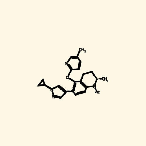 CC(=O)N1c2ccc(-c3cnn(C4CC4)c3)c(Oc3ccc(C)cn3)c2CC[C@@H]1C